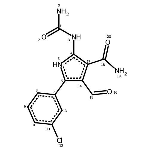 NC(=O)Nc1[nH]c(-c2cccc(Cl)c2)c(C=O)c1C(N)=O